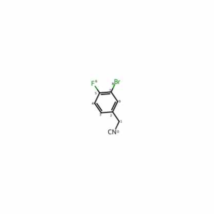 [C-]#[N+]Cc1ccc(F)c(Br)c1